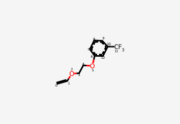 C=COCCOc1cccc(C(F)(F)F)c1